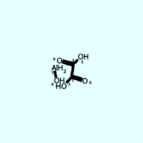 O=C(O)C(=O)O.[OH][AlH2]